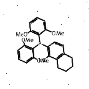 COc1cccc(OC)c1P(c1ccc2c(c1O)CCCC2)c1c(OC)cccc1OC